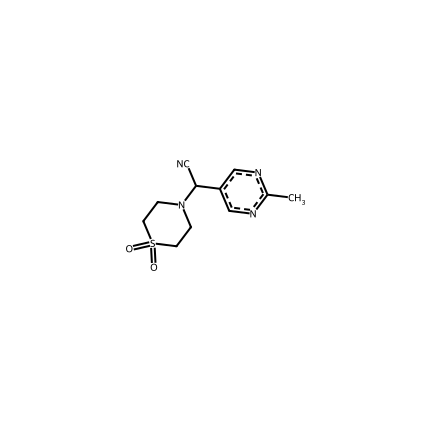 Cc1ncc(C(C#N)N2CCS(=O)(=O)CC2)cn1